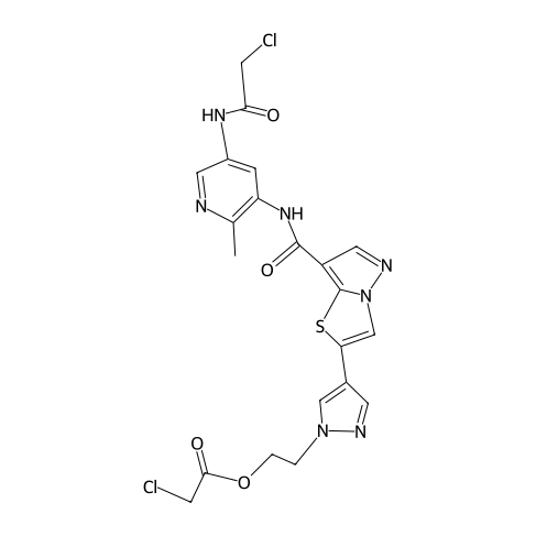 Cc1ncc(NC(=O)CCl)cc1NC(=O)c1cnn2cc(-c3cnn(CCOC(=O)CCl)c3)sc12